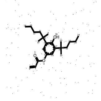 C=CC(=O)Oc1cc(C(C)(C)CCCC)c(O)c(C(C)(C)CCCC)c1